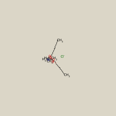 CCCCCCCCC=CCCCCCCCC(=O)OC(C)CC(C[N+](C)(C)C)C(C)OC(=O)CCCCCCCC=CCCCCCCCC.[Cl-]